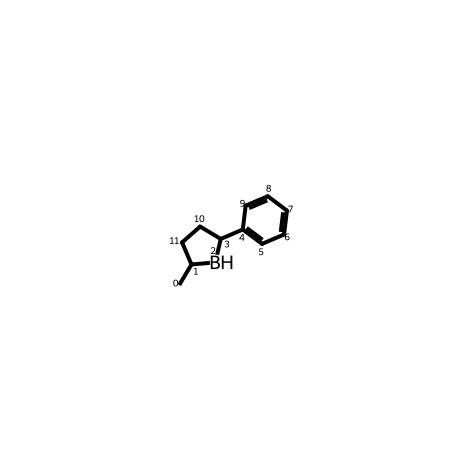 CC1BC(c2ccccc2)CC1